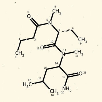 CCCC(=O)N(C)[C@H](CC)C(=O)N(C)C(CC(C)C)C(N)=O